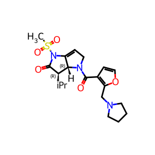 CC(C)[C@H]1C(=O)N(S(C)(=O)=O)C2=CCN(C(=O)c3ccoc3CN3CCCC3)[C@@H]21